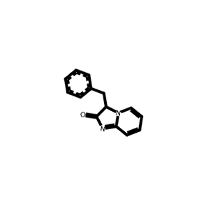 O=C1N=C2C=CC=CN2C1Cc1ccccc1